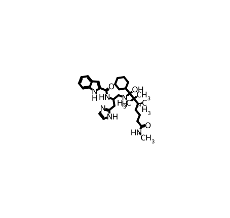 CNC(=O)CCC[C@H](C)C(C)(C)C(O)(NCC(Cc1ncc[nH]1)NC(=O)c1cc2ccccc2[nH]1)C1CCCCC1